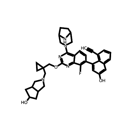 C#Cc1cccc2cc(O)cc(-c3ccc4c(N5CC6CCC(C5)N6)nc(OCC5(CN6CC7CC(O)CC7C6)CC5)nc4c3F)c12